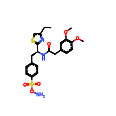 CCc1csc([C@H](Cc2ccc(S(=O)(=O)ON)cc2)NC(=O)Cc2ccc(OC)c(OC)c2)n1